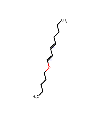 CCCC/C=C/C=C/OCCCCC